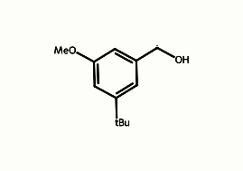 COc1cc([CH]O)cc(C(C)(C)C)c1